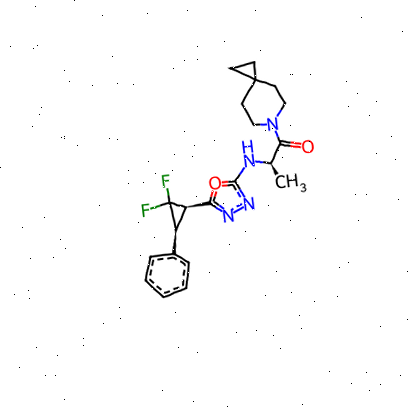 C[C@@H](Nc1nnc([C@H]2[C@@H](c3ccccc3)C2(F)F)o1)C(=O)N1CCC2(CC1)CC2